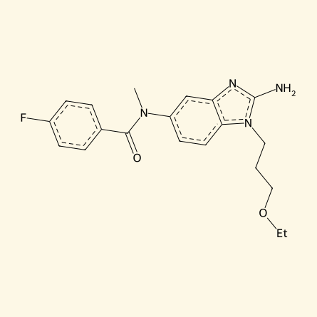 CCOCCCn1c(N)nc2cc(N(C)C(=O)c3ccc(F)cc3)ccc21